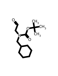 CC(C)(C)OC(=O)N(CC=O)CC1CCCCC1